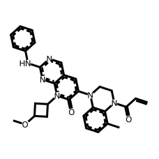 C=CC(=O)N1CCN(c2cc3cnc(Nc4ccccc4)nc3n(C3CC(OC)C3)c2=O)c2cccc(C)c21